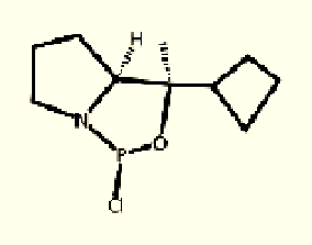 C[C@]1(C2CCC2)OP(Cl)N2CCC[C@H]21